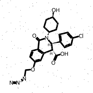 [N-]=[N+]=NCOc1ccc2c(c1)[C@@H](C(=O)O)[C@H](c1ccc(Cl)cc1)N([C@H]1CC[C@H](O)CC1)C2=O